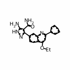 CCOc1cc(-c2ccccc2)nc2cc(-c3n[nH]c(N)c3C(N)=O)ccc12